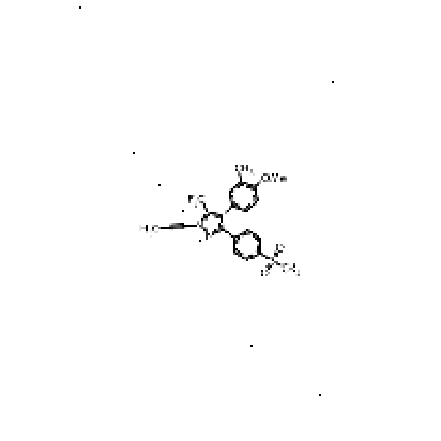 CC#Cn1nc(-c2ccc(S(C)(=O)=O)cc2)c(-c2ccc(OC)c(C)c2)c1C(F)(F)F